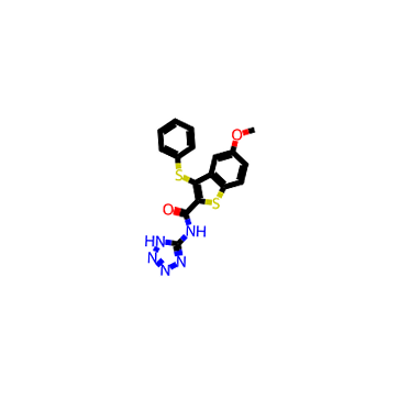 COc1ccc2sc(C(=O)Nc3nnn[nH]3)c(Sc3ccccc3)c2c1